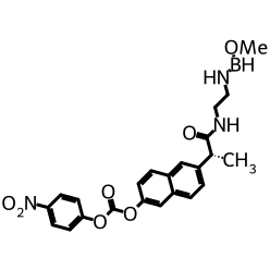 COBNCCNC(=O)[C@H](C)c1ccc2cc(OC(=O)Oc3ccc([N+](=O)[O-])cc3)ccc2c1